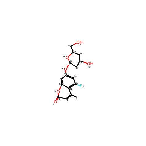 Cc1cc(=O)oc2cc(O[C@@H]3CC(O)CC(CO)O3)cc(F)c12